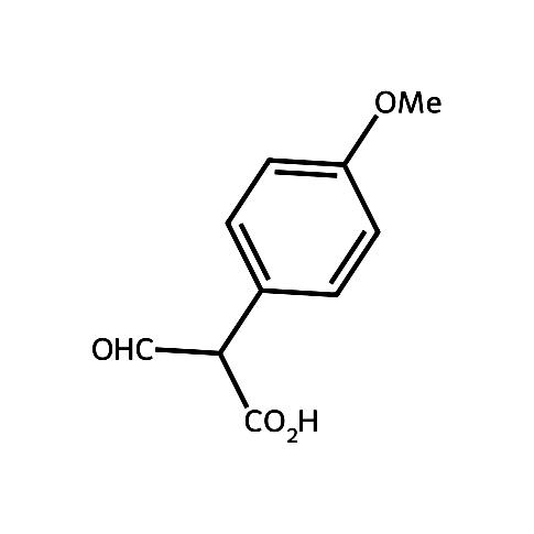 COc1ccc(C(C=O)C(=O)O)cc1